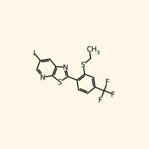 CCSc1cc(C(F)(F)F)ccc1-c1nc2cc(I)cnc2s1